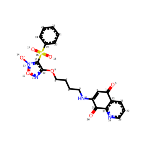 O=C1C=C(NCCCCOc2no[n+]([O-])c2S(=O)(=O)c2ccccc2)C(=O)c2ncccc21